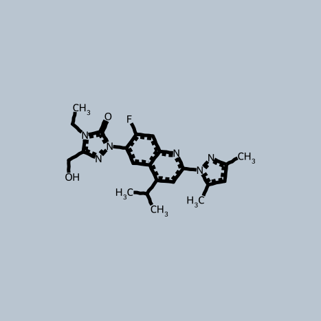 CCn1c(CO)nn(-c2cc3c(C(C)C)cc(-n4nc(C)cc4C)nc3cc2F)c1=O